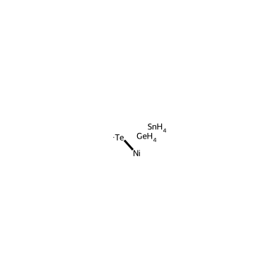 [GeH4].[Ni][Te].[SnH4]